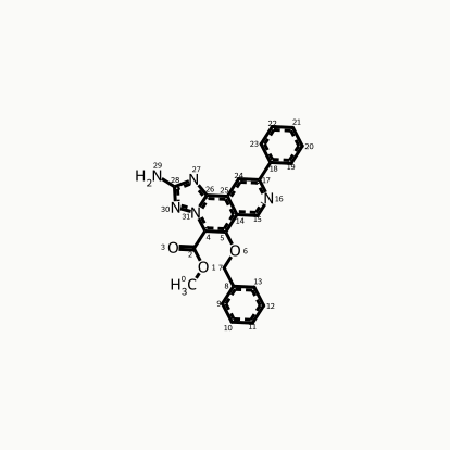 COC(=O)c1c(OCc2ccccc2)c2cnc(-c3ccccc3)cc2c2nc(N)nn12